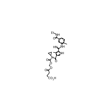 CCNC(=O)c1ccc(C)c(NC(=N)c2[nH]cc(C(=O)N(C(=O)OCOC(=O)CCC(=O)O)C3CC3)c2C)c1